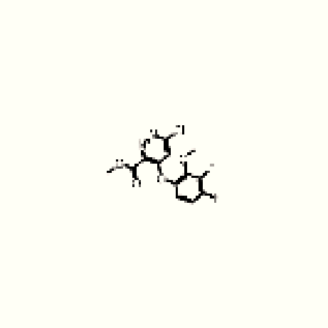 COC(=O)c1nnc(Cl)cc1Oc1ccc(F)c(F)c1OC